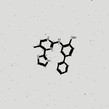 COc1ccc(-c2ccccc2)cc1Nc1ncc(C)c(-c2nccs2)n1